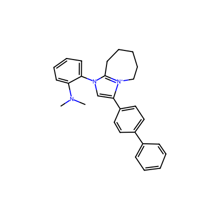 CN(C)c1ccccc1-n1cc(-c2ccc(-c3ccccc3)cc2)[n+]2c1CCCCC2